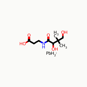 CC(C)(CO)C(O)C(=O)NCCC(=O)O.[PbH2]